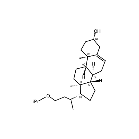 CC(C)OCCC(C)[C@H]1CC[C@H]2[C@@H]3CC=C4C[C@@H](O)CC[C@]4(C)[C@H]3CC[C@]12C